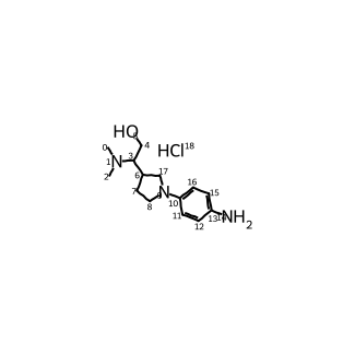 CN(C)C(CO)C1CCN(c2ccc(N)cc2)C1.Cl